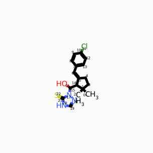 CC1(C)CCC(=Cc2ccc(Cl)cc2)C1C(O)n1nc[nH]c1=S